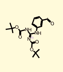 CC(C)(C)OC(=O)/N=C(/NC(=O)OC(C)(C)C)Nc1cccc([C]=O)c1